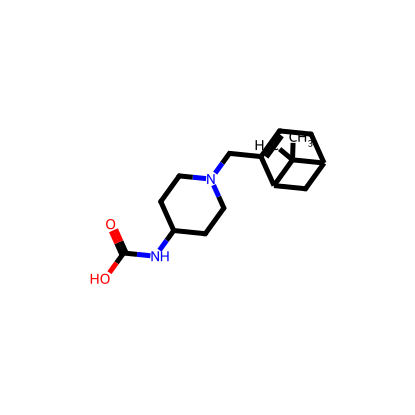 CC1(C)C2CC=C(CN3CCC(NC(=O)O)CC3)C1C2